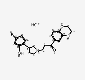 Cl.O=C(CCN1CCC(c2ccc(F)cc2O)C1)c1ccc2c(c1)OCCO2